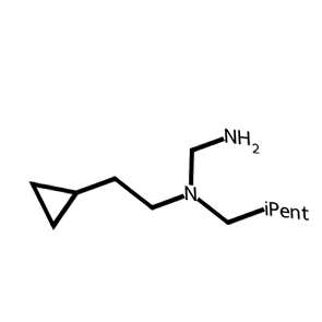 CCCC(C)CN(CN)CCC1CC1